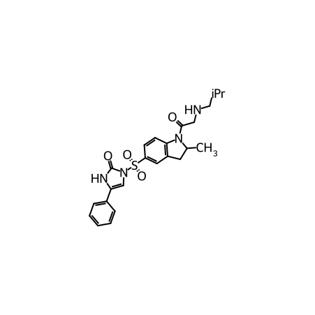 CC(C)CNCC(=O)N1c2ccc(S(=O)(=O)n3cc(-c4ccccc4)[nH]c3=O)cc2CC1C